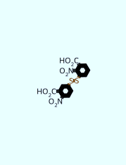 O=C(O)c1cc(SSc2cccc(C(=O)O)c2[N+](=O)[O-])ccc1[N+](=O)[O-]